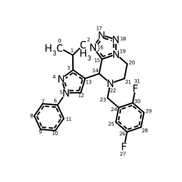 CC(C)c1nn(-c2ccccc2)cc1C1c2nnnn2CCN1Cc1cc(F)ccc1F